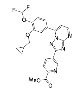 COC(=O)c1ccc(-c2nc3nccc(-c4ccc(OC(F)F)c(OCC5CC5)c4)n3n2)cn1